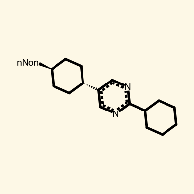 CCCCCCCCC[C@H]1CC[C@H](c2cnc(C3CCCCC3)nc2)CC1